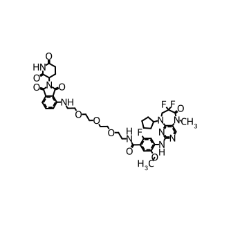 COc1cc(C(=O)NCCOCCOCCOCCNc2cccc3c2C(=O)N(C2CCC(=O)NC2=O)C3=O)c(F)cc1Nc1ncc2c(n1)N(C1CCCC1)CC(F)(F)C(=O)N2C